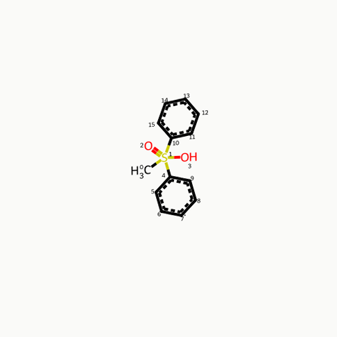 CS(=O)(O)(c1cc[c]cc1)c1ccccc1